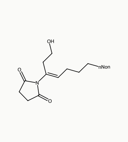 CCCCCCCCCCCC/C=C(\CCO)N1C(=O)CCC1=O